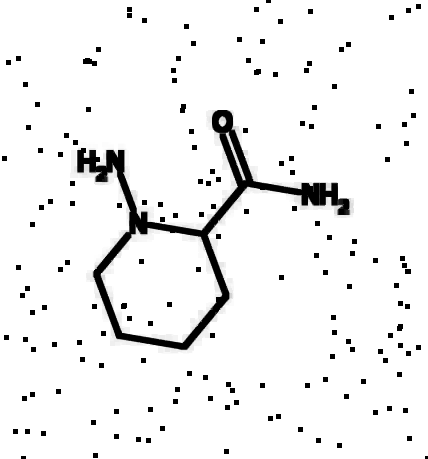 NC(=O)C1CCCCN1N